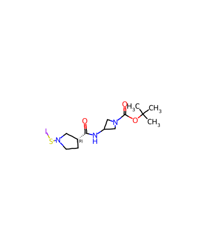 CC(C)(C)OC(=O)N1CC(NC(=O)[C@@H]2CCN(SI)C2)C1